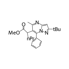 CCCC(C(=O)OC)c1c(C)nc2cc(C(C)(C)C)nn2c1-c1ccccc1